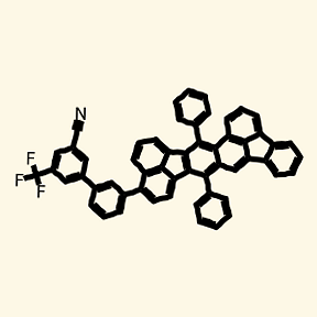 N#Cc1cc(-c2cccc(-c3ccc4c5c(-c6ccccc6)c6cc7c8ccccc8c8cccc(c6c(-c6ccccc6)c5c5cccc3c45)c87)c2)cc(C(F)(F)F)c1